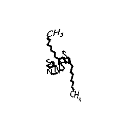 CCCCCCCCc1csc2c(CCCCCCCC)csc12.c1cnc2cscc2n1